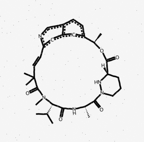 CC(C)[C@H]1C(=O)N[C@@H](C)C(=O)N2CCC[C@H](N2)C(=O)O[C@H](C)c2ccc3cnc(cc3c2)/C=C/C(C)(C)C(=O)N1C